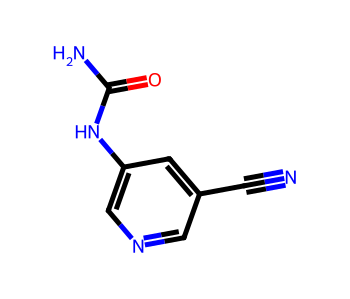 N#Cc1cncc(NC(N)=O)c1